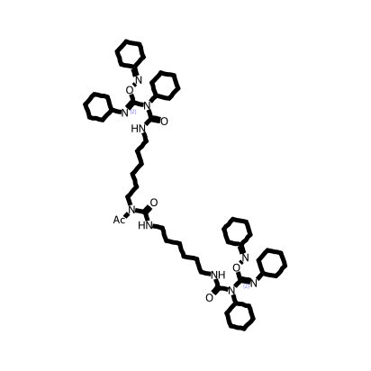 CC(=O)N(CCCCCCNC(=O)N(/C(=N/C1CCCCC1)ON=C1CCCCC1)C1CCCCC1)C(=O)NCCCCCCNC(=O)N(/C(=N/C1CCCCC1)ON=C1CCCCC1)C1CCCCC1